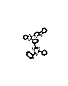 c1ccc(-c2nc(-c3ccccc3)nc(-c3cccc(-c4nc5ccccc5nc4-c4ccc5c(n4)sc4ccccc45)c3)n2)cc1